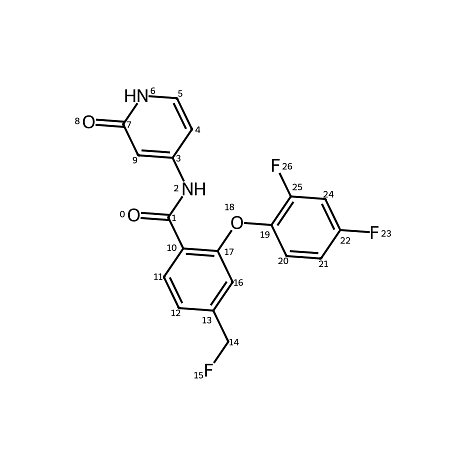 O=C(Nc1cc[nH]c(=O)c1)c1ccc(CF)cc1Oc1ccc(F)cc1F